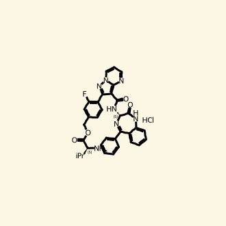 CC(C)[C@H](N)C(=O)OCc1ccc(-c2nn3cccnc3c2C(=O)N[C@H]2N=C(c3ccccc3)c3ccccc3NC2=O)c(F)c1.Cl